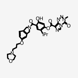 CC(C)c1cc(C(=O)N2Cc3ccc(OCCCN4CCOCC4)cc3C2)c(O)cc1OC(=O)c1ncn2c(=O)n(C)nnc12